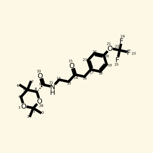 CC1(C)OCC(C)(C)[C@H](C(=O)NCCC(=O)Cc2ccc(OC(F)(F)F)cc2)O1